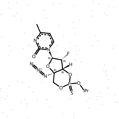 Cc1ccn([C@@H]2O[C@]3(N=[N+]=[N-])COP(=S)(OC(C)C)O[C@H]3[C@H]2F)c(=O)n1